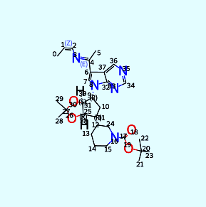 C/C=C\N=C(/C)c1cn([C@@H]2C[C@H](C3CCCN(C(=O)OC(C)(C)C)C3)[C@H]3OC(C)(C)O[C@H]32)c2ncncc12